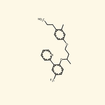 Cc1cc(OCCC(C)Oc2ccc(C(F)(F)F)cc2-c2ccccn2)ccc1CCC(=O)O